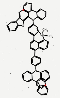 C[Si]1(C)c2cc(N(c3ccccc3-c3ccccc3)c3cccc4c3oc3ccccc34)ccc2-c2ccc(-c3ccc(N(c4ccccc4-c4ccccc4)c4cccc5c4oc4ccccc45)cc3)c3cccc1c23